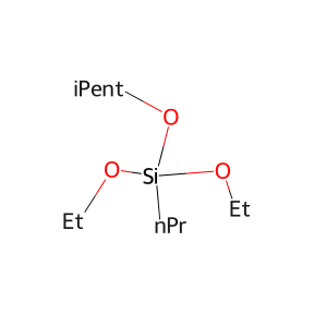 CCCC(C)O[Si](CCC)(OCC)OCC